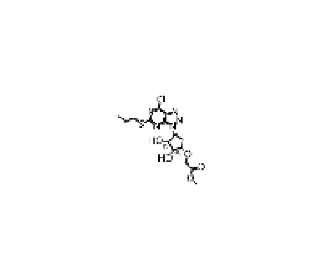 CCCSc1nc(Cl)c2nnn([C@@H]3C[C@H](OCC(=O)OC)[C@H](O)[C@H]3O)c2n1